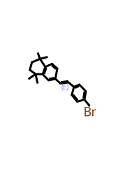 CC1(C)CCC(C)(C)c2cc(/C=C/c3ccc(CBr)cc3)ccc21